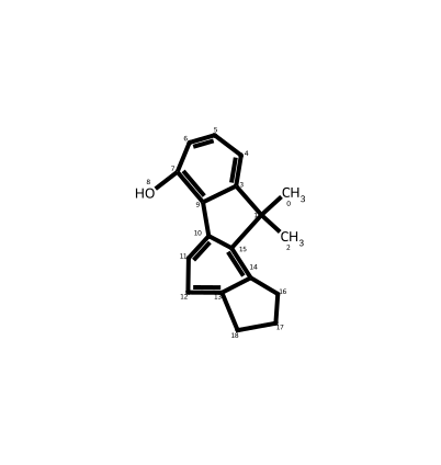 CC1(C)c2cccc(O)c2-c2ccc3c(c21)CCC3